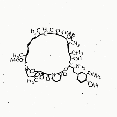 CO[C@H]1C[C@@H]2CC[C@@H](C)[C@@](O)(O2)C(=O)C(=O)N2CCCC[C@H]2C(=O)O[C@H]([C@H](N)C[C@@H]2CC[C@@H](O)[C@H](OC)C2)C[C@@H](O)[C@H](C)/C=C(\C)[C@@H](O)[C@@H](OC)C(=O)[C@H](C)C[C@H](C)/C=C/C=C/C=C/1C